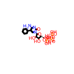 Nc1nc(=O)n([C@@H]2O[C@H](COP(=O)(O)OP(=O)(O)OP(=O)(O)O)C(O)C2O)cc1-c1ccccc1